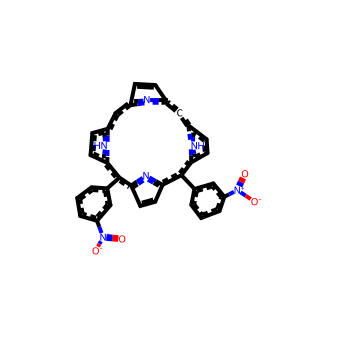 O=[N+]([O-])c1cccc(-c2c3nc(c(-c4cccc([N+](=O)[O-])c4)c4ccc(cc5nc(cc6ccc2[nH]6)C=C5)[nH]4)C=C3)c1